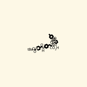 Cc1ccc(S(=O)(=O)N2CCC[C@H]2C(=O)N[C@@H](Cc2ccc(NC(=O)C3CCN(C(=O)OC(C)(C)C)CC3)cc2)C(=O)O)cc1